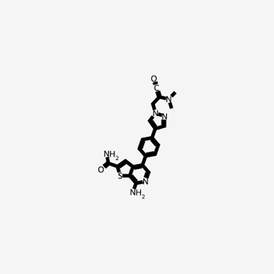 CN(C)C(=C=O)Cn1cc(-c2ccc(-c3cnc(N)c4sc(C(N)=O)cc34)cc2)cn1